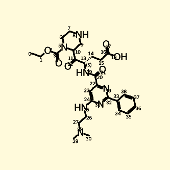 CCOC(=O)N1CCNCC1C(=O)[C@H](CCC(=O)O)NC(=O)c1cc(NCCN(C)C)nc(-c2ccccc2)n1